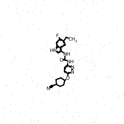 CCc1cc2c(NC(=O)Nc3ccc(OC4CCC(C#N)CC4)nn3)c[nH]c2cc1F